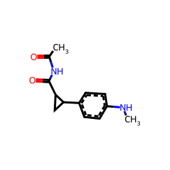 CNc1ccc(C2CC2C(=O)NC(C)=O)cc1